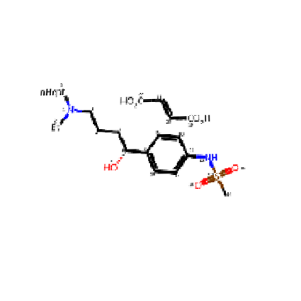 CCCCCCCN(CC)CCC[C@@H](O)c1ccc(NS(C)(=O)=O)cc1.O=C(O)C=CC(=O)O